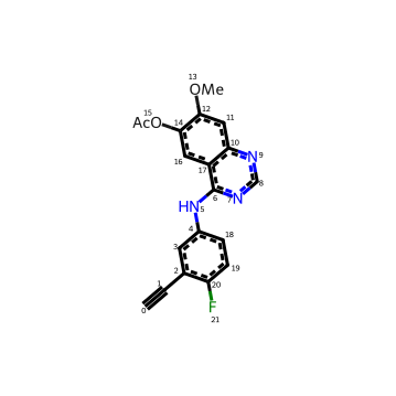 C#Cc1cc(Nc2ncnc3cc(OC)c(OC(C)=O)cc23)ccc1F